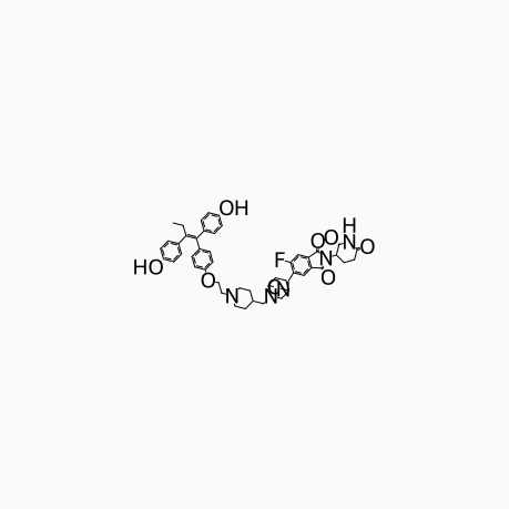 CCC(=C(c1ccc(O)cc1)c1ccc(OCCN2CCC(CN3CC4CCC3CN4c3cc4c(cc3F)C(=O)N(C3CCC(=O)NC3=O)C4=O)CC2)cc1)c1ccc(O)cc1